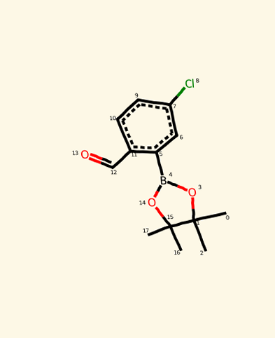 CC1(C)OB(c2cc(Cl)ccc2C=O)OC1(C)C